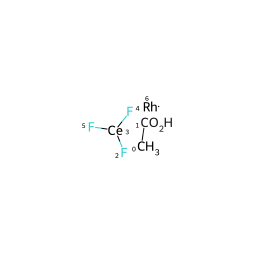 CC(=O)O.[F][Ce]([F])[F].[Rh]